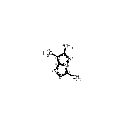 Cc1nn2c(C)csc2c1C